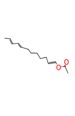 CC=CC=CCCCCCC=COC(C)=O